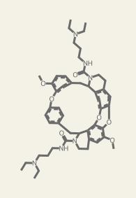 CCN(CC)CCCNC(=O)N1CCc2cc3c4cc2C1Cc1ccc(OC)c(c1)Oc1ccc(cc1)CC1c2c(cc(OC)c(c2O4)O3)CCN1C(=O)NCCCN(CC)CC